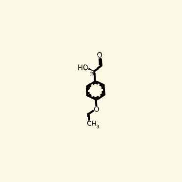 CCOc1ccc([C@@H](O)C=O)cc1